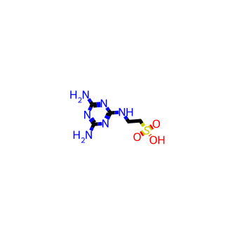 Nc1nc(N)nc(NCCS(=O)(=O)O)n1